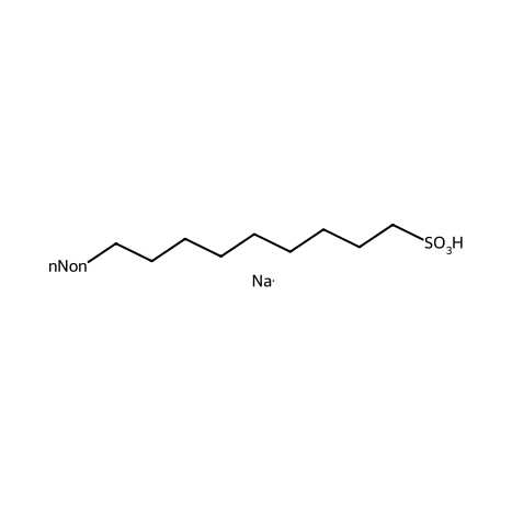 CCCCCCCCCCCCCCCCCCS(=O)(=O)O.[Na]